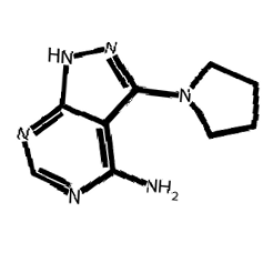 Nc1ncnc2[nH]nc(N3CCCC3)c12